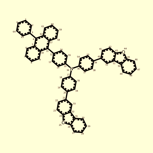 c1ccc(-c2c3ccccc3c(-c3ccc(N(c4ccc(-c5ccc6oc7ccccc7c6c5)cc4)c4ccc(-c5ccc6oc7ccccc7c6c5)cc4)cc3)c3ccccc23)cc1